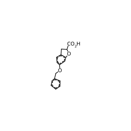 O=C(O)C1Cc2ccc(OCc3ccccc3)cc2O1